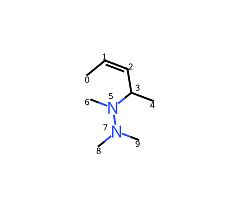 C/C=C\C(C)N(C)N(C)C